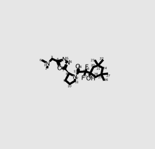 CN(C)Cc1nnc([C@@H]2CCCN2C(=O)C(F)(F)C2(O)CC(C)(C)CC(C)(C)C2)o1